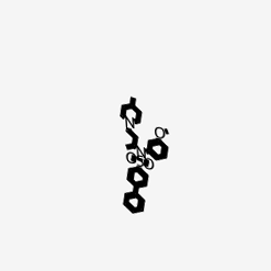 COc1cccc(N(C(C)CCN2CCC(C)CC2)S(=O)(=O)c2ccc(-c3ccccc3)cc2)c1